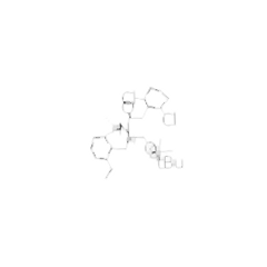 C=Cc1cccc2c1C[C@H](CO[Si](C)(C)C(C)(C)C)N(C(=O)Cc1c(Cl)cccc1Cl)[C@H]2C